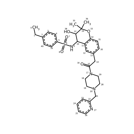 CCc1ccc(S(=O)(=O)NC2c3cc(CC(=O)N4CCN(Cc5ccccn5)CC4)ccc3OC(C)(C)C2O)cc1